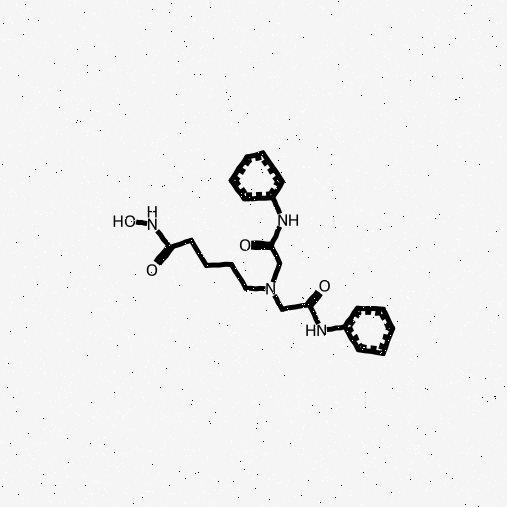 O=C(CCCCN(CC(=O)Nc1ccccc1)CC(=O)Nc1ccccc1)NO